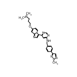 CN(C)CCCOc1ccn2c(-c3cc(NCc4ccc(-c5cnn(C)n5)cc4)ncn3)cnc2c1